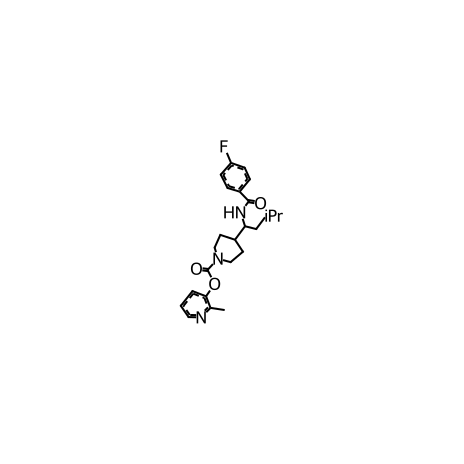 Cc1ncccc1OC(=O)N1CCC(C(CC(C)C)NC(=O)c2ccc(F)cc2)CC1